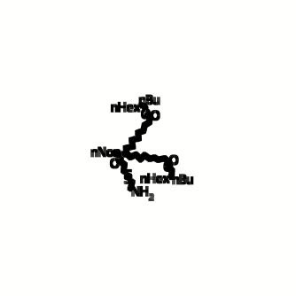 CCCCCCCCCN(C(=O)CCSSCCN)C(CCCCCCCCC(=O)OCC(CCCC)CCCCCC)CCCCCCCCC(=O)OCC(CCCC)CCCCCC